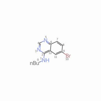 CCCCNc1ncnc2ccc(Br)cc12